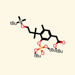 Cc1cc(CC(=O)OC(C)(C)C)cc(OP(=O)(OC(C)(C)C)OC(C)(C)C)c1C(C)(C)CCO[Si](C)(C)C(C)(C)C